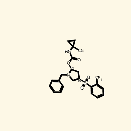 N#CC1(NC(=O)O[C@H]2C[C@@H](S(=O)(=O)c3ccccc3C(F)(F)F)CN2Cc2ccccc2)CC1